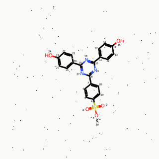 O=S(=O)([O-])c1ccc(-c2nc(-c3ccc(O)cc3)nc(-c3ccc(O)cc3)n2)cc1.[K+]